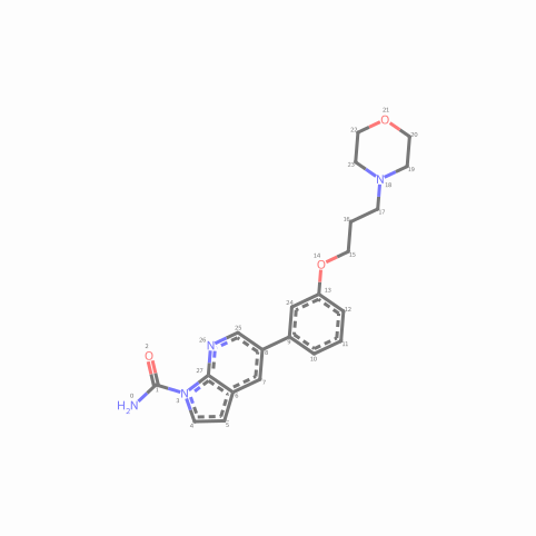 NC(=O)n1c[c]c2cc(-c3cccc(OCCCN4CCOCC4)c3)cnc21